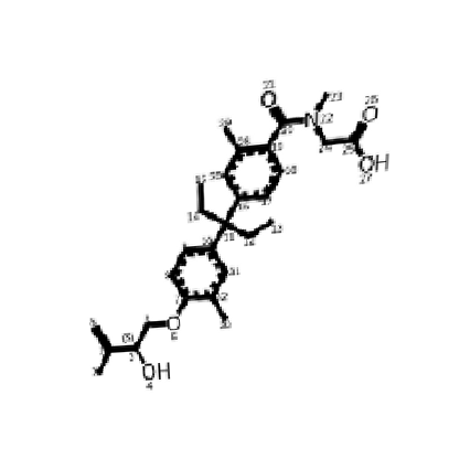 C=C(C)[C@H](O)COc1ccc(C(CC)(CC)c2ccc(C(=O)N(C)CC(=O)O)c(C)c2)cc1C